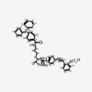 CNC(=O)C(CCCCNC(=O)c1ccc(P(c2ccccc2)c2ccccc2)cc1)NC(=O)c1ccc(NN=Cc2ccccc2S(=O)(=O)O)nc1